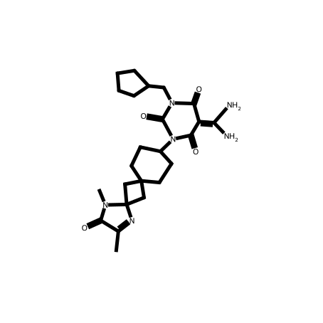 CC1=NC2(CC3(CCC(N4C(=O)C(=C(N)N)C(=O)N(CC5CCCC5)C4=O)CC3)C2)N(C)C1=O